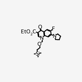 CCOC(=O)c1cn(COCC[Si](C)(C)C)c2cc(N3CCCC3)c(F)cc2c1=O